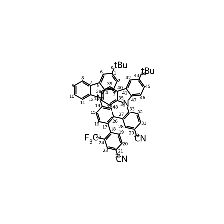 CC(C)(C)c1ccc2c(c1)c1ccccc1n2-c1ccc(-c2ccc(C#N)cc2C(F)(F)F)c(-c2cc(C#N)ccc2-n2c3ccccc3c3cc(C(C)(C)C)ccc32)c1